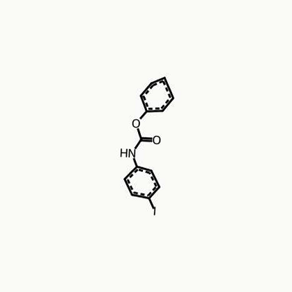 O=C(Nc1ccc(I)cc1)Oc1ccccc1